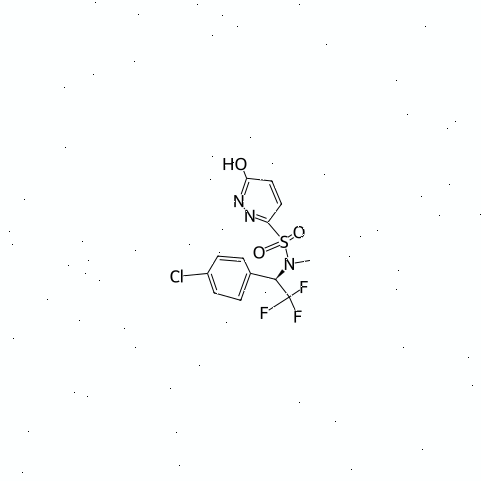 CN([C@H](c1ccc(Cl)cc1)C(F)(F)F)S(=O)(=O)c1ccc(O)nn1